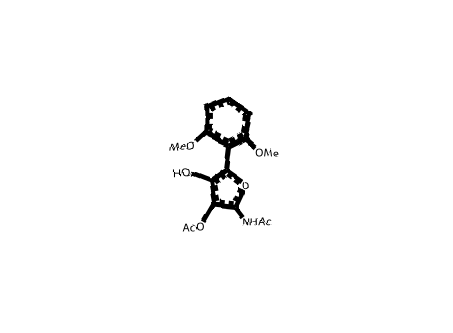 COc1cccc(OC)c1-c1oc(NC(C)=O)c(OC(C)=O)c1O